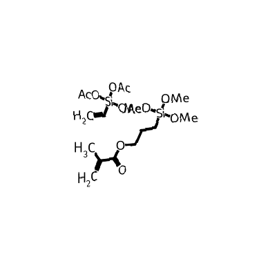 C=C(C)C(=O)OCCC[Si](OC)(OC)OC.C=C[Si](OC(C)=O)(OC(C)=O)OC(C)=O